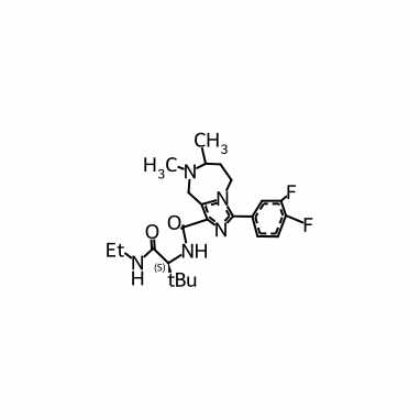 CCNC(=O)[C@@H](NC(=O)c1nc(-c2ccc(F)c(F)c2)n2c1CN(C)C(C)CC2)C(C)(C)C